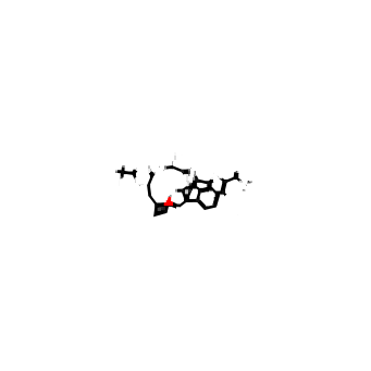 CCC(O)(CC)C(=O)N[C@H]1Cc2ccc3c(c2)C2(c4ccccc4NC2O3)c2oc(nc2-c2nc(C(=O)N(C)C)c(C)o2)[C@H](C(C)C)NC1=O